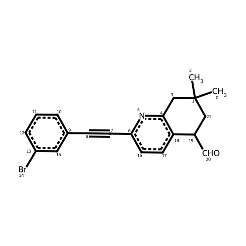 CC1(C)Cc2nc(C#Cc3cccc(Br)c3)ccc2C(C=O)C1